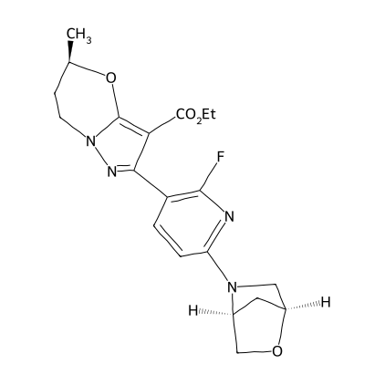 CCOC(=O)c1c(-c2ccc(N3C[C@@H]4C[C@H]3CO4)nc2F)nn2c1O[C@H](C)CC2